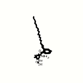 CCCCCCCCCCCCCCCCCCc1ccccc1C(=O)C(N)C1(C)CC(NC(=O)O)CC(C)(C)C1